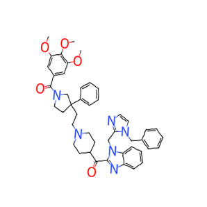 COc1cc(C(=O)N2CCC(CCN3CCC(C(=O)c4nc5ccccc5n4Cc4nccn4Cc4ccccc4)CC3)(c3ccccc3)C2)cc(OC)c1OC